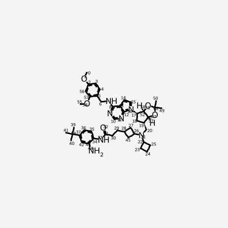 COc1ccc(CNc2ncnc3c2ccn3[C@@H]2C[C@H](CN(C3CCC3)C3CC(CCC(=O)Nc4ccc(C(C)(C)C)cc4N)C3)[C@H]3OC(C)(C)O[C@H]32)c(OC)c1